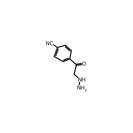 N#Cc1ccc(C(=O)CNN)cc1